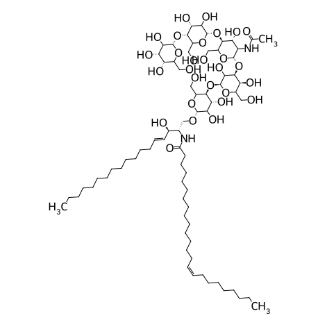 CCCCCCCC/C=C\CCCCCCCCCCCCCC(=O)N[C@@H](CO[C@@H]1OC(CO)[C@@H](O[C@@H]2OC(CO)[C@H](O)[C@H](O[C@@H]3OC(CO)[C@@H](O[C@@H]4OC(CO)[C@H](O[C@@H]5OC(CO)[C@H](O)[C@H](O)C5O)[C@H](O)C4O)[C@H](O)C3NC(C)=O)C2O)[C@H](O)C1O)[C@H](O)/C=C/CCCCCCCCCCCCC